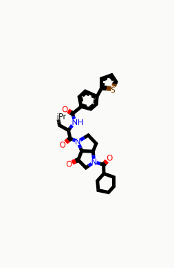 CC(C)CC(NC(=O)c1ccc(-c2cccs2)cc1)C(=O)N1CCC2C1C(=O)CN2C(=O)C1CCCCC1